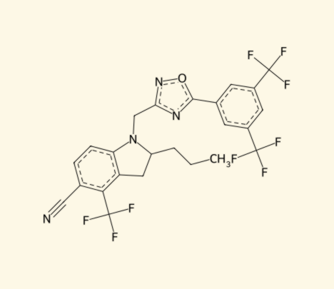 CCCC1Cc2c(ccc(C#N)c2C(F)(F)F)N1Cc1noc(-c2cc(C(F)(F)F)cc(C(F)(F)F)c2)n1